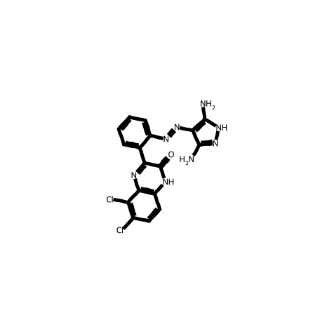 Nc1n[nH]c(N)c1/N=N/c1ccccc1-c1nc2c(Cl)c(Cl)ccc2[nH]c1=O